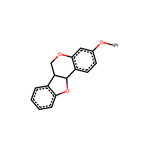 CC(C)Oc1ccc2c(c1)OCC1c3ccccc3OC21